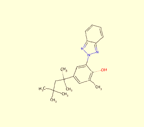 Cc1cc(C(C)(C)CC(C)(C)C)cc(-n2nc3ccccc3n2)c1O